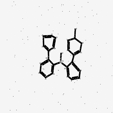 CC1C=CC(c2ccccc2N(C)c2ccccc2-c2ccccc2)=CC1